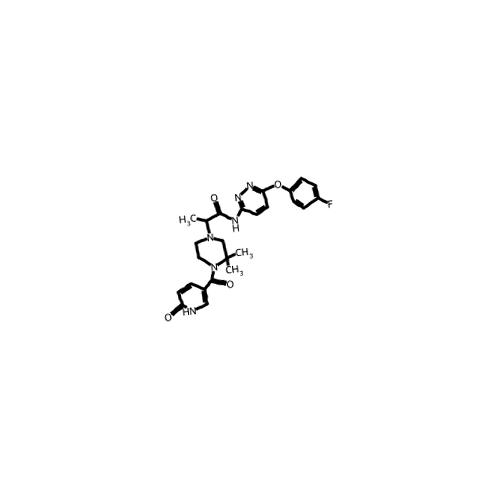 CC(C(=O)Nc1ccc(Oc2ccc(F)cc2)nn1)N1CCN(C(=O)c2ccc(=O)[nH]c2)C(C)(C)C1